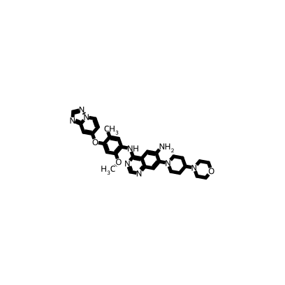 COc1cc(Oc2ccn3ncnc3c2)c(C)cc1Nc1ncnc2cc(N3CCC(N4CCOCC4)CC3)c(N)cc12